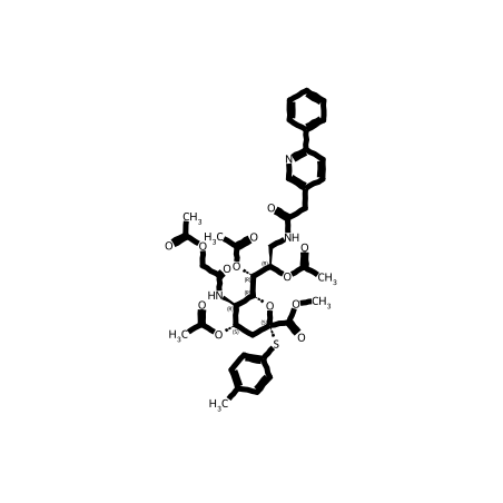 COC(=O)[C@@]1(Sc2ccc(C)cc2)C[C@H](OC(C)=O)[C@@H](NC(=O)COC(C)=O)[C@H]([C@H](OC(C)=O)[C@@H](CNC(=O)Cc2ccc(-c3ccccc3)nc2)OC(C)=O)O1